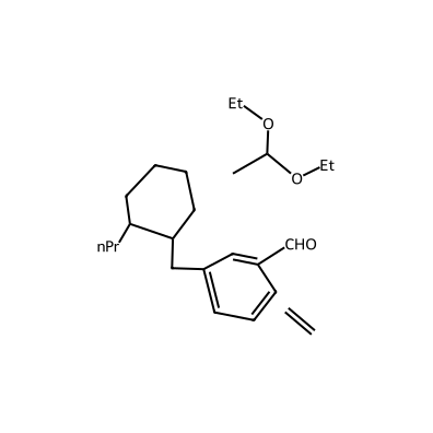 C=C.CCCC1CCCCC1Cc1cccc(C=O)c1.CCOC(C)OCC